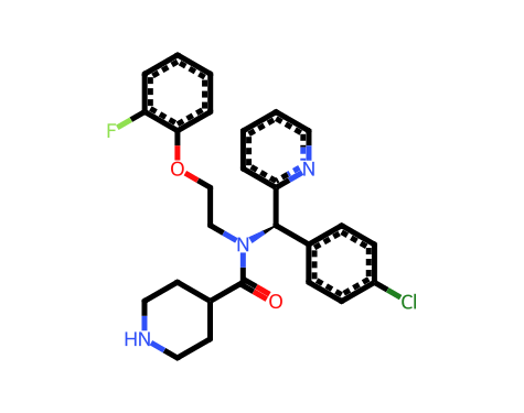 O=C(C1CCNCC1)N(CCOc1ccccc1F)[C@H](c1ccc(Cl)cc1)c1ccccn1